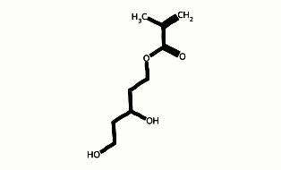 C=C(C)C(=O)OCCC(O)CCO